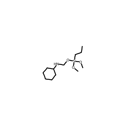 CCC[Si](OC)(OC)OCNC1CCCCC1